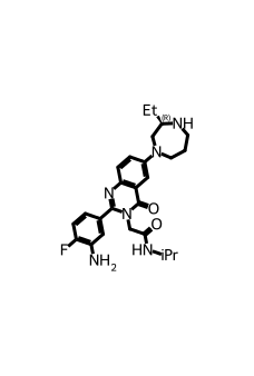 CC[C@@H]1CN(c2ccc3nc(-c4ccc(F)c(N)c4)n(CC(=O)NC(C)C)c(=O)c3c2)CCCN1